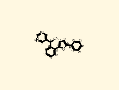 FC(c1cncnc1)c1ccccc1-c1ccc(-c2ccccc2)o1